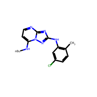 CCCCNc1ccnc2nc(Nc3cc(Cl)ccc3C)nn12